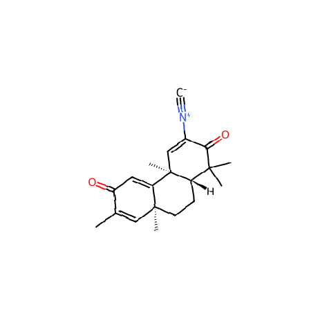 [C-]#[N+]C1=C[C@]2(C)C3=CC(=O)C(C)=C[C@]3(C)CC[C@H]2C(C)(C)C1=O